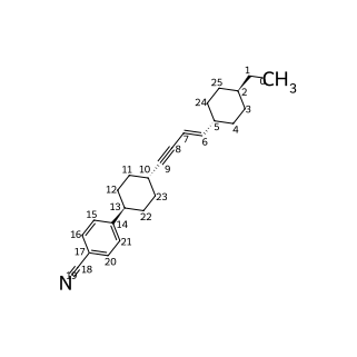 CC[C@H]1CC[C@H](/C=C/C#C[C@H]2CC[C@H](c3ccc(C#N)cc3)CC2)CC1